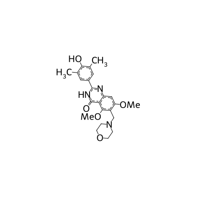 COc1cc2nc(-c3cc(C)c(O)c(C)c3)[nH]c(=O)c2c(OC)c1CN1CCOCC1